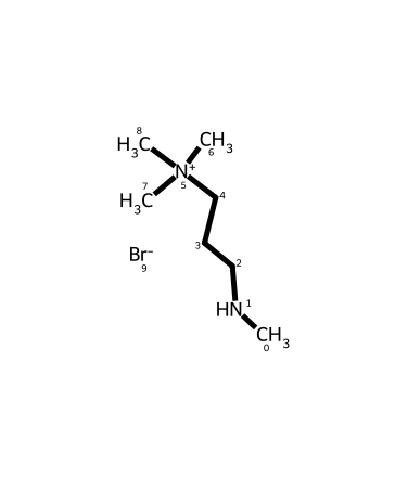 CNCCC[N+](C)(C)C.[Br-]